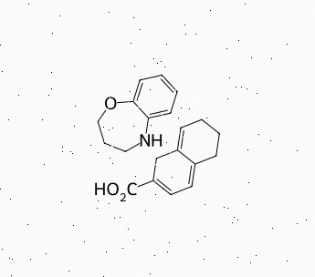 O=C(O)C1=CC=C2CCCC=C2C1.c1ccc2c(c1)NCCCO2